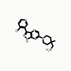 CC1(CN)CCN(c2cnc3c(-c4cnccc4Cl)n[nH]c3n2)CC1